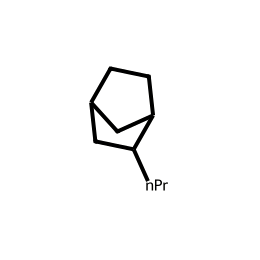 [CH2]CCC1CC2CCC1C2